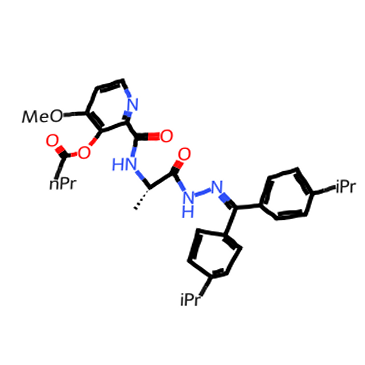 CCCC(=O)Oc1c(OC)ccnc1C(=O)N[C@@H](C)C(=O)NN=C(c1ccc(C(C)C)cc1)c1ccc(C(C)C)cc1